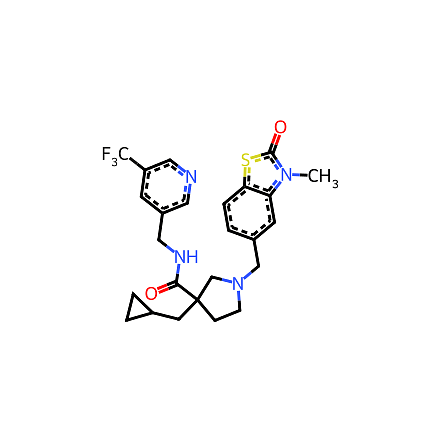 Cn1c(=O)sc2ccc(CN3CCC(CC4CC4)(C(=O)NCc4cncc(C(F)(F)F)c4)C3)cc21